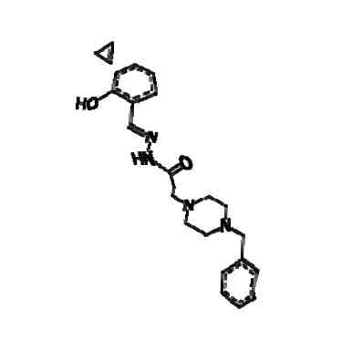 C1=CC1.O=C(CN1CCN(Cc2ccccc2)CC1)NN=Cc1ccccc1O